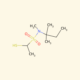 CCC(C)(C)N(C)S(=O)(=O)C(C)S